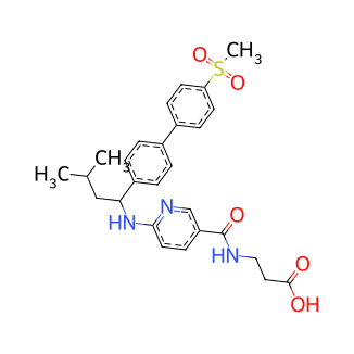 CC(C)CC(Nc1ccc(C(=O)NCCC(=O)O)cn1)c1ccc(-c2ccc(S(C)(=O)=O)cc2)cc1